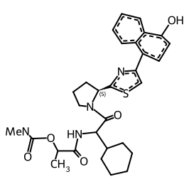 CNC(=O)OC(C)C(=O)NC(C(=O)N1CCC[C@H]1c1nc(-c2ccc(O)c3ccccc23)cs1)C1CCCCC1